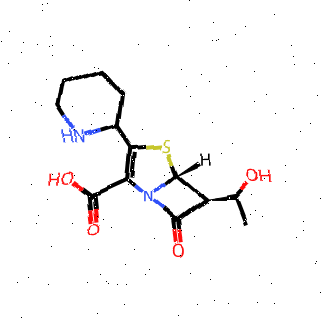 CC(O)[C@H]1C(=O)N2C(C(=O)O)=C(C3CCCCN3)S[C@H]12